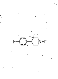 CC1(C)CNCCC1c1ccc(F)cc1